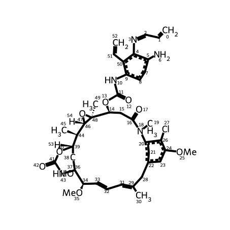 C=C/C=N\c1c(N)ccc(NC(=O)O[C@H]2CC(=O)N(C)c3cc(cc(OC)c3Cl)C/C(C)=C/C=C/[C@@H](OC)[C@@]3(O)C[C@H](OC(=O)N3)[C@@H](C)[C@@H]3O[C@@]23C)c1C=C